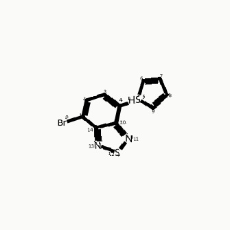 Brc1ccc([SH]2C=CC=C2)c2nsnc12